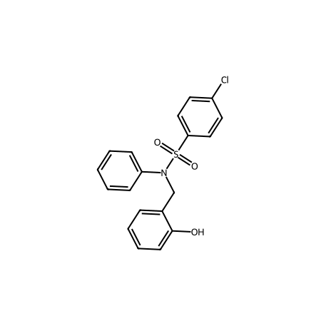 O=S(=O)(c1ccc(Cl)cc1)N(Cc1ccccc1O)c1ccccc1